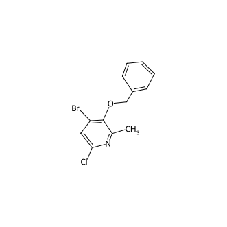 Cc1nc(Cl)cc(Br)c1OCc1ccccc1